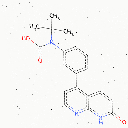 CC(C)(C)N(C(=O)O)c1cccc(-c2ccnc3[nH]c(=O)ccc23)c1